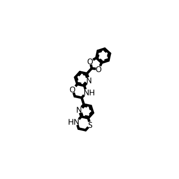 c1ccc2c(c1)OC(c1ccc3c(n1)NC(c1ccc4c(n1)NCCS4)CO3)O2